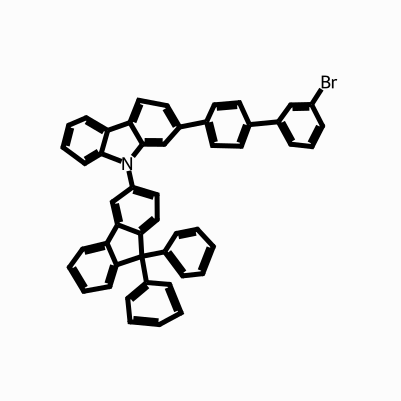 Brc1cccc(-c2ccc(-c3ccc4c5ccccc5n(-c5ccc6c(c5)-c5ccccc5C6(c5ccccc5)c5ccccc5)c4c3)cc2)c1